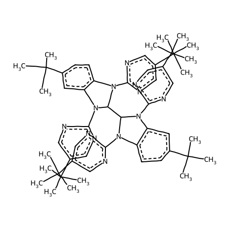 CC(C)(C)c1cnc(N2c3ccc(C(C)(C)C)cc3N(c3ncc(C(C)(C)C)cn3)C2C2N(c3ncc(C(C)(C)C)cn3)c3ccc(C(C)(C)C)cc3N2c2ncc(C(C)(C)C)cn2)nc1